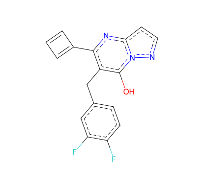 Oc1c(Cc2ccc(F)c(F)c2)c(C2=CC=C2)nc2ccnn12